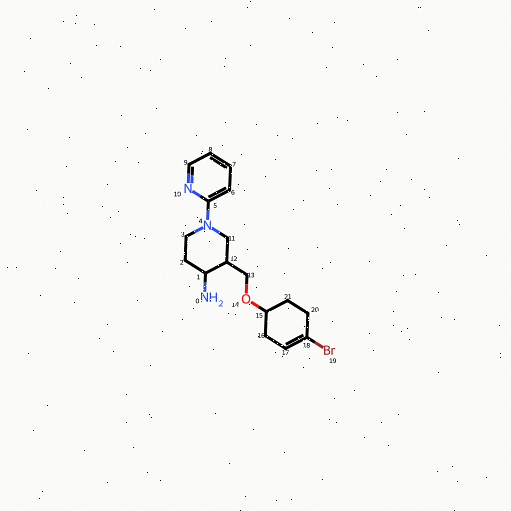 NC1CCN(c2ccccn2)CC1COC1CC=C(Br)CC1